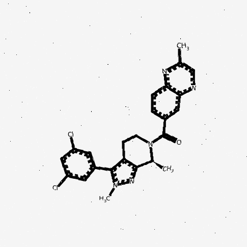 Cc1cnc2cc(C(=O)N3CCc4c(nn(C)c4-c4cc(Cl)cc(Cl)c4)[C@@H]3C)ccc2n1